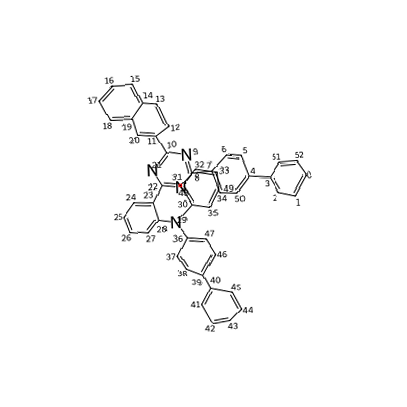 c1ccc(-c2ccc(-c3nc(-c4ccc5ccccc5c4)nc(-c4ccccc4N(c4ccccc4)c4ccc(-c5ccccc5)cc4)n3)cc2)cc1